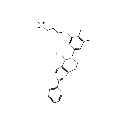 CC1c2cnc(-c3ccccn3)nc2CCN1c1cc(F)c(F)c(OCCCS(C)(=O)=O)c1